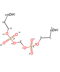 CCCCCCCCCCCCOS(=O)(=O)OCOS(=O)(=O)OCCCCCCCCCCCC